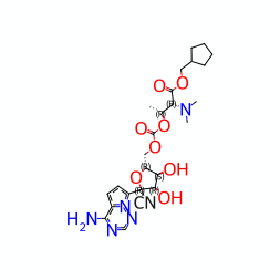 C[C@@H](OC(=O)OC[C@H]1O[C@@](C#N)(c2ccc3c(N)ncnn23)[C@H](O)[C@@H]1O)[C@H](C(=O)OCC1CCCC1)N(C)C